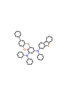 c1ccc(-c2ccc3c(c2)Sc2cc(N(c4ccccc4)c4ccc5c(c4)sc4ccccc45)cc(N(c4ccccc4)c4ccccc4)c2O3)cc1